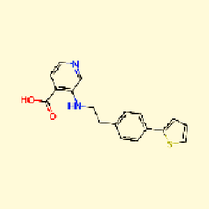 O=C(O)c1ccncc1NCCc1ccc(-c2cccs2)cc1